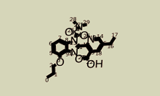 CCCOc1cccc2c1nc(-c1ncc(CC)cc1C(=O)O)n2S(=O)(=O)N(C)C